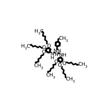 CCCCCCCOc1cc(Nc2nc(Nc3cc(OCCCCCCC)c(OCCCCCCC)c(OCCCCCCC)c3)nc(-c3ccc(CC)cc3)n2)cc(OCCCCCCC)c1OCCCCCCC